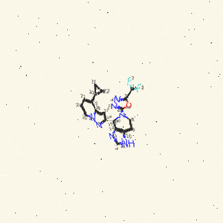 FC(F)c1nnc(N2CCc3[nH]cnc3[C@@H]2c2cc3c(C4CC4)cccn3n2)o1